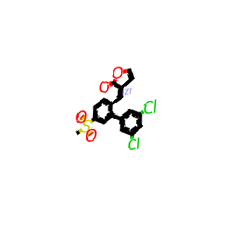 CS(=O)(=O)c1ccc(/C=C2/CCOC2=O)c(-c2cc(Cl)cc(Cl)c2)c1